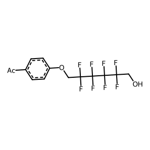 CC(=O)c1ccc(OCC(F)(F)C(F)(F)C(F)(F)C(F)(F)CO)cc1